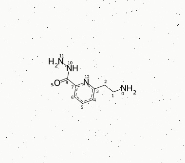 NCCc1cccc(C(=O)NN)n1